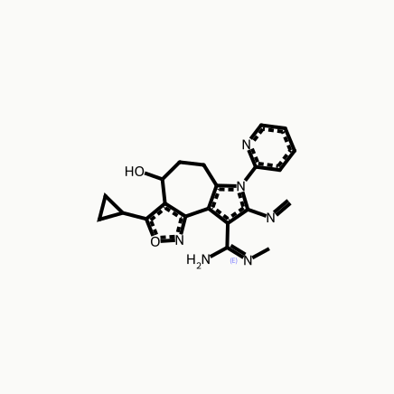 C=Nc1c(/C(N)=N\C)c2c(n1-c1ccccn1)CCC(O)c1c-2noc1C1CC1